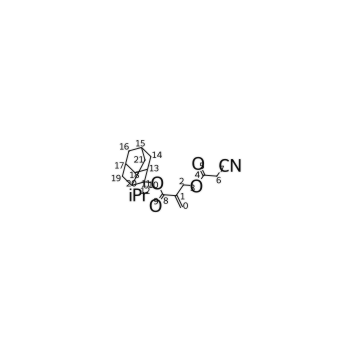 C=C(COC(=O)CC#N)C(=O)OC1(C(C)C)C2CC3CC(C2)CC1C3